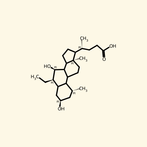 CC[C@@H]1C2C[C@H](O)C[C@@H](C)C2C2CC[C@@]3(C)C(CCC3[C@H](C)CCC(=O)O)C2[C@@H]1O